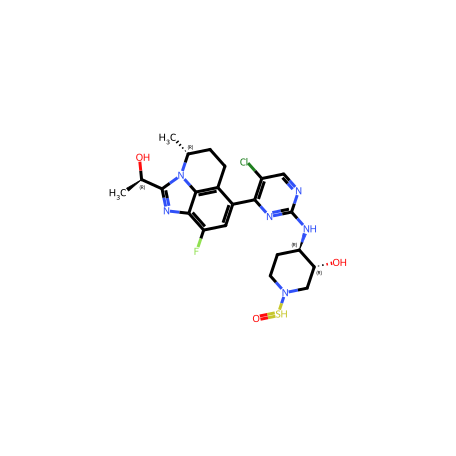 C[C@@H]1CCc2c(-c3nc(N[C@@H]4CCN([SH]=O)C[C@H]4O)ncc3Cl)cc(F)c3nc([C@@H](C)O)n1c23